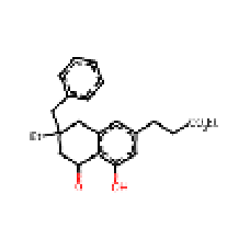 CCOC(=O)CCc1cc(O)c2c(c1)CC(CC)(Cc1ccccc1)CC2=O